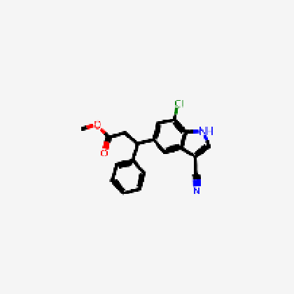 COC(=O)CC(c1ccccc1)c1cc(Cl)c2[nH]cc(C#N)c2c1